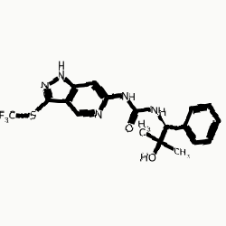 CC(C)(O)[C@@H](NC(=O)Nc1cc2[nH]nc(SC(F)(F)F)c2cn1)c1ccccc1